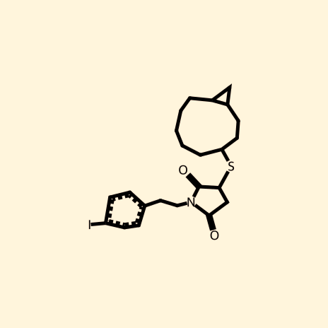 O=C1CC(SC2CCCCCC3CC3CC2)C(=O)N1CCc1ccc(I)cc1